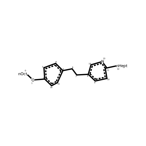 CCCCCCCCOc1ccc(CCc2ccc(CCCCCCC)nc2)cc1